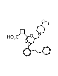 CC1CCN(CC(COc2ccccc2CCc2ccccc2)OC(=O)C2CCC2C(=O)O)CC1